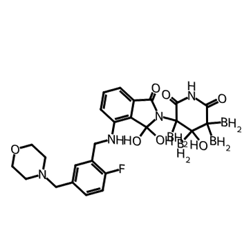 BC1(B)C(=O)NC(=O)C(B)(N2C(=O)c3cccc(NCc4cc(CN5CCOCC5)ccc4F)c3C2(O)O)C1(B)O